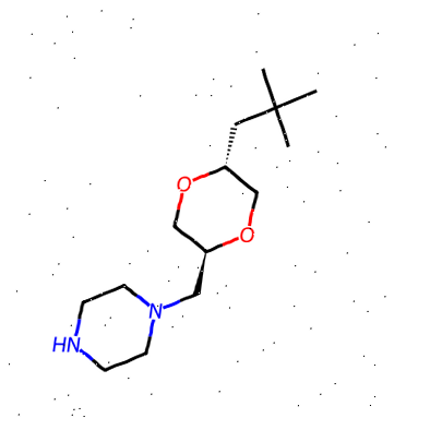 CC(C)(C)C[C@@H]1CO[C@@H](CN2CCNCC2)CO1